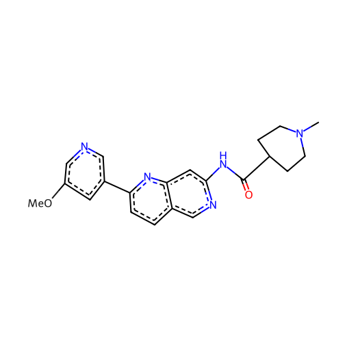 COc1cncc(-c2ccc3cnc(NC(=O)C4CCN(C)CC4)cc3n2)c1